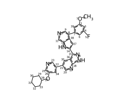 COc1cc(F)cc(-c2cncc3[nH]c(-c4n[nH]c5ncc(-c6cncc(OC7CCCCC7)c6)cc45)cc23)c1